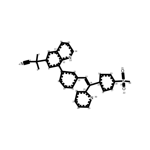 CC(C)(C#N)c1cc(-c2cccc(C=C(c3ccc(S(C)(=O)=O)cc3)c3ccccn3)c2)c2ncccc2c1